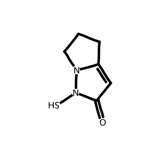 O=c1cc2n(n1S)CCC2